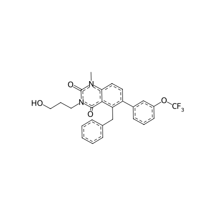 Cn1c(=O)n(CCCO)c(=O)c2c(Cc3ccccc3)c(-c3cccc(OC(F)(F)F)c3)ccc21